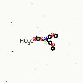 Cc1cc(OCc2nc(-c3ccc(Oc4ccccc4)cc3)c(-c3ccc(Oc4ccccc4)cc3)s2)ccc1OCC(=O)O